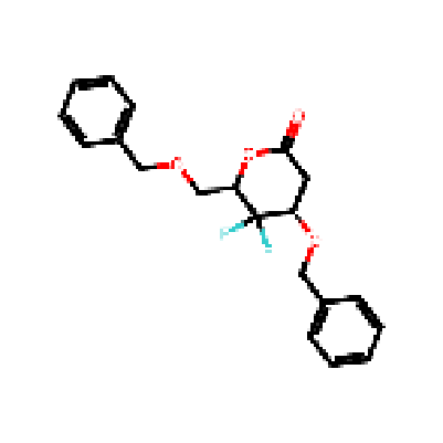 O=C1C[C@@H](OCc2ccccc2)C(F)(F)[C@@H](COCc2ccccc2)O1